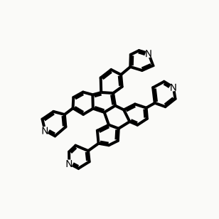 c1cc(-c2ccc3c4ccc(-c5ccncc5)cc4c4c5cc(-c6ccncc6)ccc5c5ccc(-c6ccncc6)cc5c4c3c2)ccn1